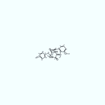 COc1cccc(C#N)c1C(C)=C1NC(=O)C(C)(Cc2ccc(F)cc2)NC1=O